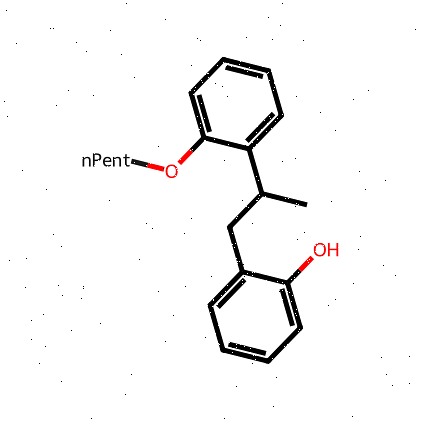 CCCCCOc1ccccc1C(C)Cc1ccccc1O